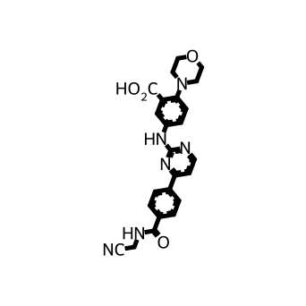 N#CCNC(=O)c1ccc(-c2ccnc(Nc3ccc(N4CCOCC4)c(C(=O)O)c3)n2)cc1